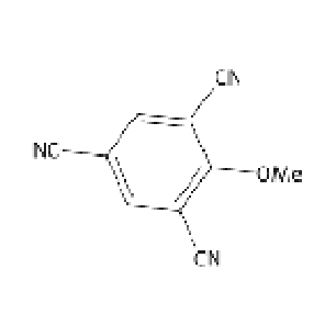 COc1c(C#N)cc(C#N)cc1C#N